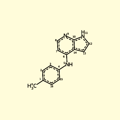 Cc1ccc(Nc2ccnc3[nH]ccc23)cc1